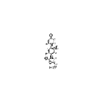 O=C1C=CN(c2cc(F)c(N3CC(CO)OC3=O)cc2F)CC1